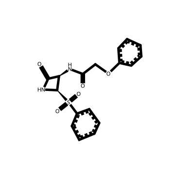 O=C(COc1ccccc1)N[C@@H]1C(=O)N[C@@H]1S(=O)(=O)c1ccccc1